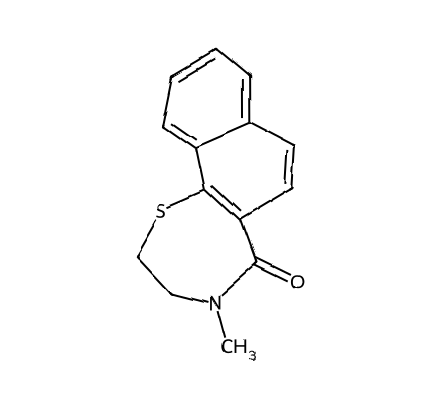 CN1CCSc2c(ccc3ccccc23)C1=O